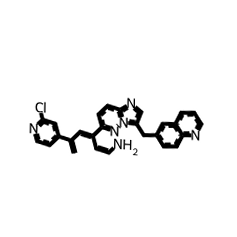 C=C(/C=C(\C=C/N)c1ccc2ncc(Cc3ccc4ncccc4c3)n2n1)c1ccnc(Cl)c1